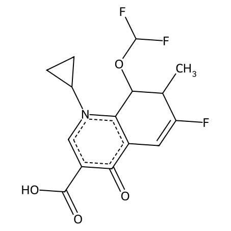 CC1C(F)=Cc2c(n(C3CC3)cc(C(=O)O)c2=O)C1OC(F)F